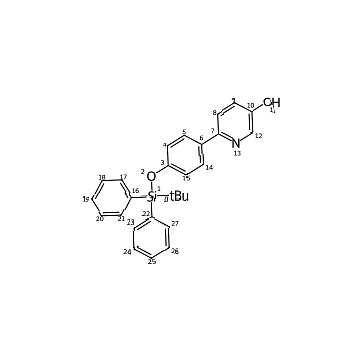 CC(C)(C)[Si](Oc1ccc(-c2ccc(O)cn2)cc1)(c1ccccc1)c1ccccc1